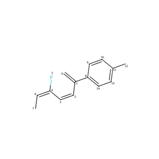 C=C(/C=C\C(F)=C/C)c1ccc(C)cc1